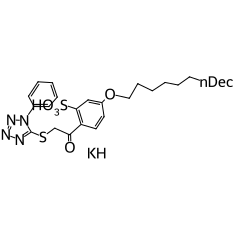 CCCCCCCCCCCCCCCCOc1ccc(C(=O)CSc2nnnn2-c2ccccc2)c(S(=O)(=O)O)c1.[KH]